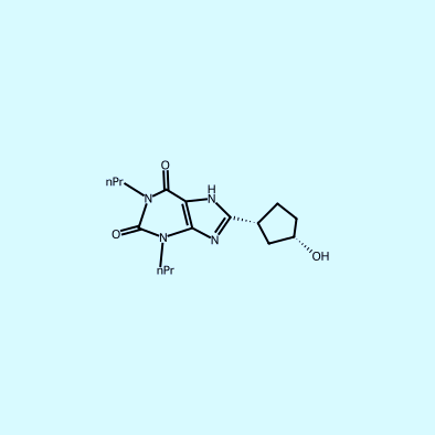 CCCn1c(=O)c2[nH]c([C@@H]3CC[C@H](O)C3)nc2n(CCC)c1=O